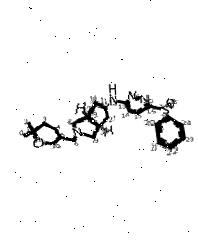 CC1(C)CCC(CN2C[C@H]3C[C@H](Nc4ccc([S+]([O-])c5ccccc5)nn4)C[C@H]3C2)CO1